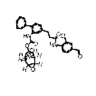 C[N+]1(C)[C@@H]2CC(OC(=O)Nc3cc(CCC(=O)Nc4ccc(C=O)cc4Cl)ccc3-c3ccccc3)C[C@H]1[C@@H]1O[C@@H]12